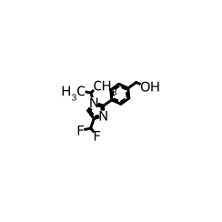 CC(C)n1cc(C(F)F)nc1-c1ccc(CO)cc1